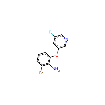 Nc1c(Br)cccc1Oc1cncc(F)c1